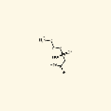 CC(C)C(O)CP(=O)(O)CCCN